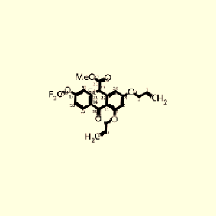 C=CCOc1cc(OCC=C)c(C(=O)c2ccc(OC(F)(F)F)cc2)c(C(CC)C(=O)OC)c1